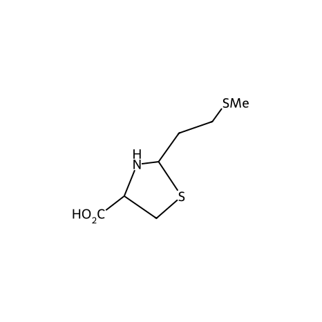 CSCCC1NC(C(=O)O)CS1